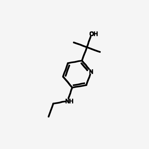 CCNc1ccc(C(C)(C)O)nc1